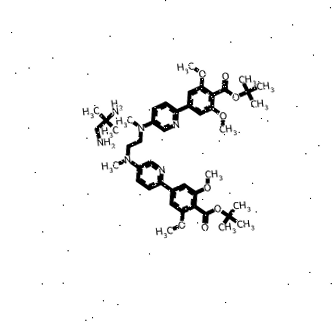 CC(C)(N)CN.COc1cc(-c2ccc(N(C)CCN(C)c3ccc(-c4cc(OC)c(C(=O)OC(C)(C)C)c(OC)c4)nc3)cn2)cc(OC)c1C(=O)OC(C)(C)C